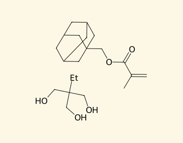 C=C(C)C(=O)OCC12CC3CC(CC(C3)C1)C2.CCC(CO)(CO)CO